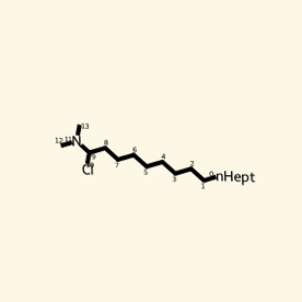 CCCCCCCCCCCCCCCC(Cl)N(C)C